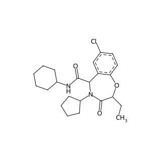 CCC1Oc2ccc(Cl)cc2C(C(=O)NC2CCCCC2)N(C2CCCC2)C1=O